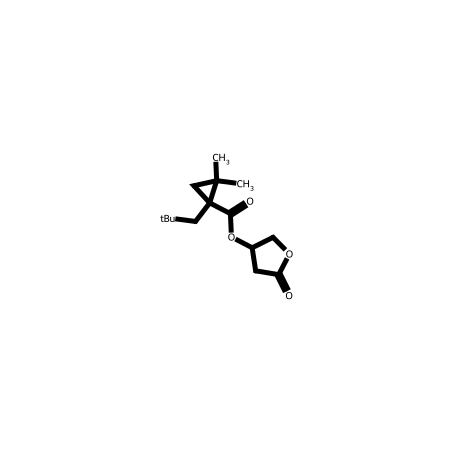 CC(C)(C)CC1(C(=O)OC2COC(=O)C2)CC1(C)C